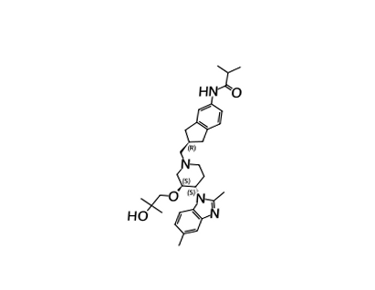 Cc1ccc2c(c1)nc(C)n2[C@H]1CCN(C[C@@H]2Cc3ccc(NC(=O)C(C)C)cc3C2)C[C@@H]1OCC(C)(C)O